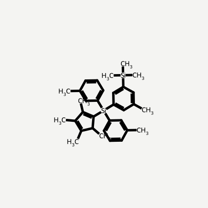 CC1=C(C)C(C)C([Si](c2cccc(C)c2)(c2cccc(C)c2)c2cc(C)cc([Si](C)(C)C)c2)=C1C